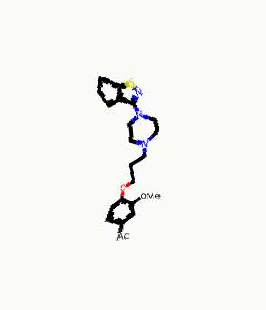 COc1cc(C(C)=O)ccc1OCCCN1CCN(c2nsc3ccccc23)CC1